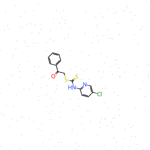 O=C(CSC(=S)Nc1ccc(Cl)cn1)c1ccccc1